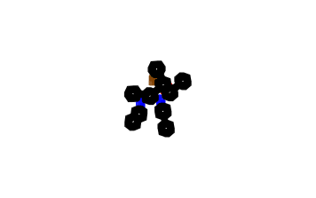 c1ccc(-c2ccc(N(c3ccc(-c4ccccc4)cc3)c3cc4c(cc3-c3cccc5c3sc3ccccc35)c3ccccc3n4-c3ccc4ccccc4c3)cc2)cc1